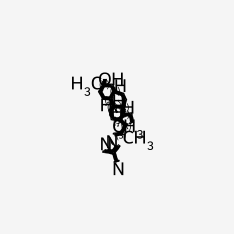 C[C@H](Cn1cc(C#N)cn1)[C@H]1CC[C@H]2[C@@H]3CC[C@@H]4C[C@](C)(O)CC[C@@H]4[C@H]3CC[C@]12C